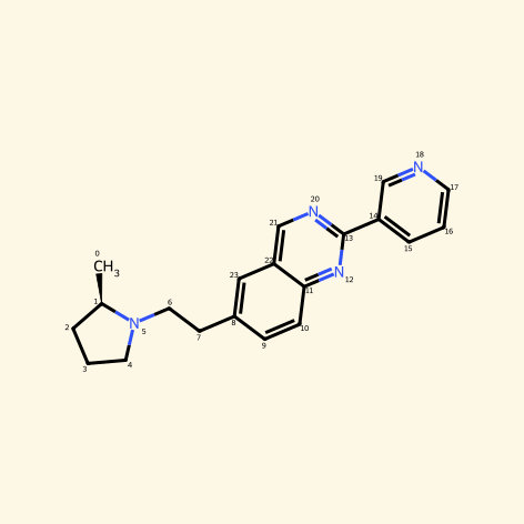 C[C@@H]1CCCN1CCc1ccc2nc(-c3cccnc3)ncc2c1